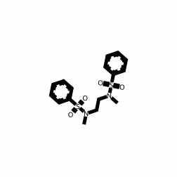 CN(CCN(C)S(=O)(=O)c1ccccc1)S(=O)(=O)c1ccccc1